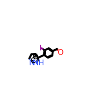 O=Cc1ccc(C2CNN3CCC2CC3)c(I)c1